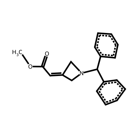 COC(=O)C=C1CN(C(c2ccccc2)c2ccccc2)C1